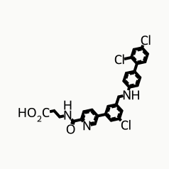 O=C(O)CCNC(=O)c1ccc(-c2cc(Cl)cc(CNc3ccc(-c4ccc(Cl)cc4Cl)cc3)c2)cn1